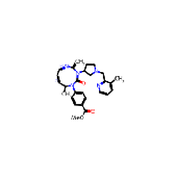 C=C1/N=C\C=C/C(C)N(c2ccc(C(=O)OC)cc2)C(=O)N1C1CCN(Cc2ncccc2C)C1